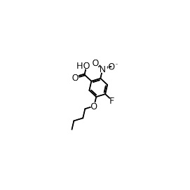 CCCCOc1cc(C(=O)O)c([N+](=O)[O-])cc1F